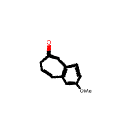 COc1ccc2c(c1)C=CCC(=O)C2